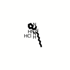 CCCCCCCCC1=Nc2cnc3ccccc3c2NN1.Cl